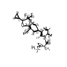 CO[C@H](C)c1nnc2cnc(-c3cnc(OC(C4CC4)C(F)(F)F)c(F)c3)cn12